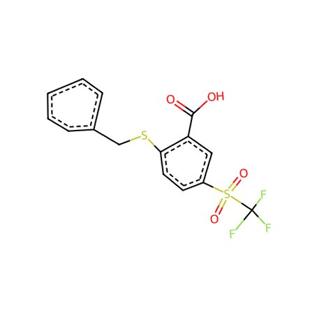 O=C(O)c1cc(S(=O)(=O)C(F)(F)F)ccc1SCc1ccccc1